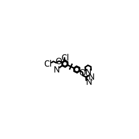 CC(C)(c1ccc(OCc2cncnc2N2CCCCC2)cc1)c1cc(Cl)c(OCCCl)c(C#N)c1